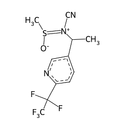 CC(c1ccc(C(F)(F)C(F)(F)F)nc1)[N+](C#N)=S(C)[O-]